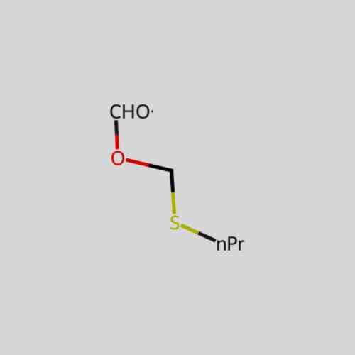 CCCSCO[C]=O